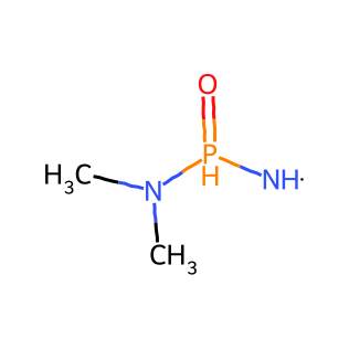 CN(C)[PH]([NH])=O